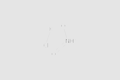 O=[NH+][O-].[Cl][K]